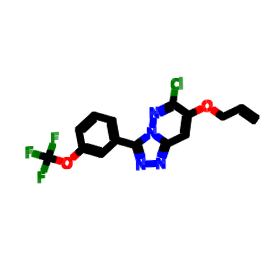 C=CCOc1cc2nnc(-c3cccc(OC(F)(F)F)c3)n2nc1Cl